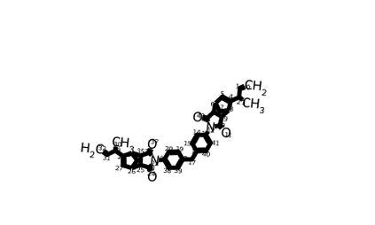 C=CC(C)C1=CC2CC1C1C(=O)N(c3ccc(Cc4ccc(N5C(=O)C6C7C=C(C(C)C=C)C(C7)C6C5=O)cc4)cc3)C(=O)C21